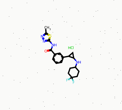 Cc1nnc(NC(=O)c2cccc(C3CC3NC3CCC(F)(F)CC3)c2)s1.Cl